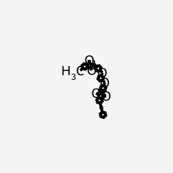 Cc1ccc2c(c1)C(=O)N(Cc1ccc(Oc3cccc(Oc4ccc(N5C(=O)c6ccc(C#Cc7ccccc7)cc6C5=O)cc4)c3)cc1)C2=O